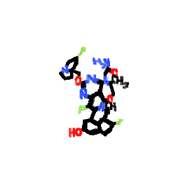 C#Cc1c(F)ccc2cc(O)cc(-c3nc4c5c(nc(OC[C@@]67CCCN6C[C@H](F)C7)nc5c3F)N(CC(N)=O)[C@@H](C)CO4)c12